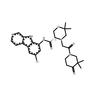 CC1(C)CN(CC(=O)N2CCC(=O)C(C)(C)C2)[C@H](C(=O)Nc2cc(Cl)cc3c2[nH]c2cnccc23)CO1